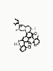 C=CC(=O)N1CC2CNc3c(c4cc(F)c(-c5c(O)cccc5Cl)c(F)c4n(-c4c(C)ccnc4C(C)C)c3=O)N2CC1C